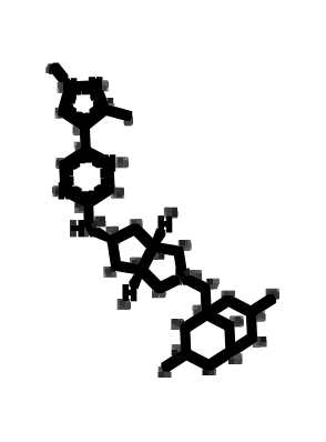 Cc1nn(C)cc1-c1cnc(N[C@H]2C[C@@H]3CN(CC45CC(C)CC(CC(C)C4)C5)C[C@@H]3C2)cn1